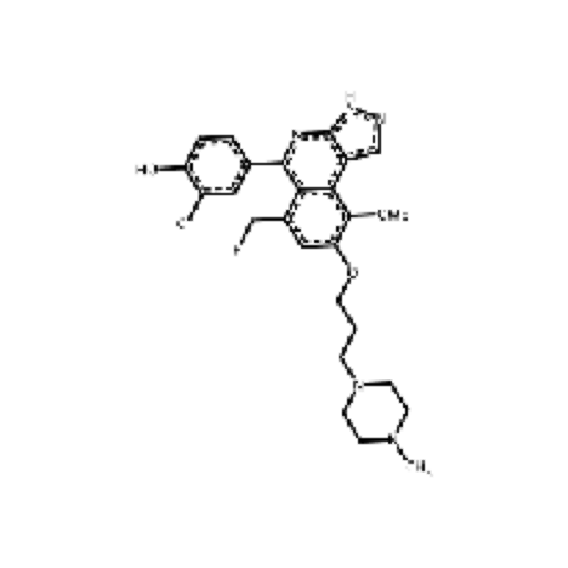 COc1c(OCCCN2CCN(C)CC2)cc(CF)c2c(-c3ccc(O)c(Cl)c3)nc3[nH]ncc3c12